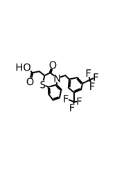 O=C(O)CC1Sc2ccccc2N(Cc2cc(C(F)(F)F)cc(C(F)(F)F)c2)C1=O